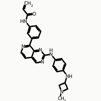 C=CC(=O)Nc1cccc(-c2nccc3cnc(Nc4ccc(NC5CN(C)C5)cc4)nc23)c1